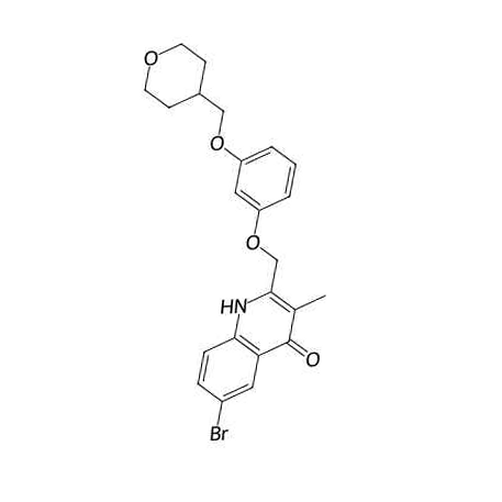 Cc1c(COc2cccc(OCC3CCOCC3)c2)[nH]c2ccc(Br)cc2c1=O